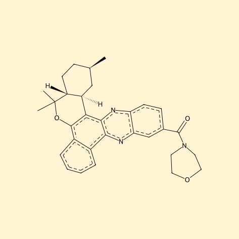 C[C@@H]1CC[C@@H]2[C@@H](C1)c1c(c3ccccc3c3nc4cc(C(=O)N5CCOCC5)ccc4nc13)OC2(C)C